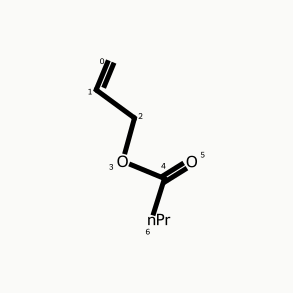 C=CCOC(=O)C[CH]C